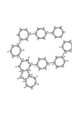 c1ccc(-c2ccc(-c3cccc(-c4cccc(-c5nc(-c6ccc(-c7cccc(-c8ccccc8)c7)cc6)c6c(n5)oc5ccccc56)c4)c3)cc2)cc1